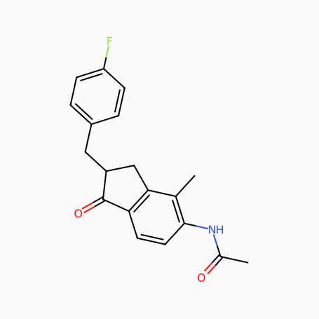 CC(=O)Nc1ccc2c(c1C)CC(Cc1ccc(F)cc1)C2=O